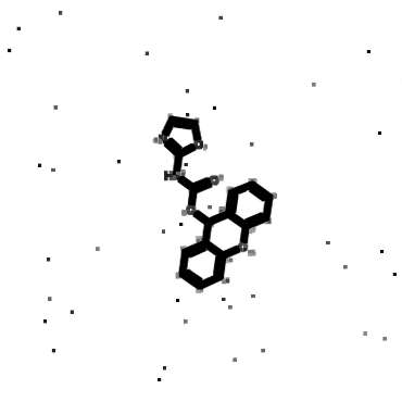 O=C(Nc1ncco1)OC1c2ccccc2Oc2ccccc21